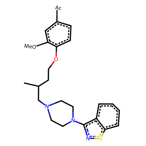 COc1cc(C(C)=O)ccc1OCCC(C)CN1CCN(c2nsc3ccccc23)CC1